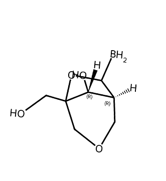 BC1OC2(CO)COC[C@H]1[C@H]2O